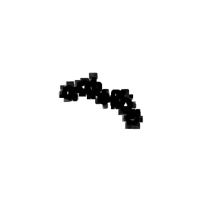 C=C1OC(c2ccc(C3=Nc4cc(-c5ccccn5)ccc4C(=C)O3)s2)=Nc2cc(-c3ccccn3)ccc21